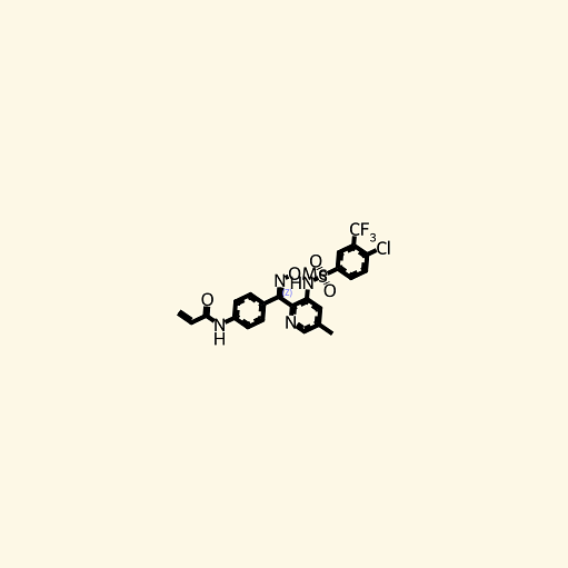 C=CC(=O)Nc1ccc(/C(=N/OC)c2ncc(C)cc2NS(=O)(=O)c2ccc(Cl)c(C(F)(F)F)c2)cc1